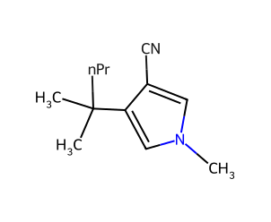 CCCC(C)(C)c1cn(C)cc1C#N